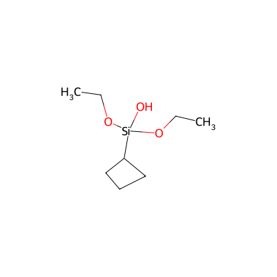 CCO[Si](O)(OCC)C1CCC1